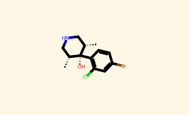 C[C@@H]1CNC[C@H](C)[C@@]1(O)c1ccc(Br)cc1Cl